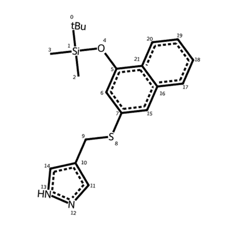 CC(C)(C)[Si](C)(C)Oc1cc(SCc2cn[nH]c2)cc2ccccc12